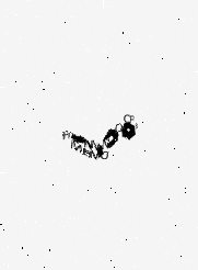 CNC(=O)/C(=N\NCCC(C)C)N1CCC(Oc2ccccc2C(F)(F)F)CC1